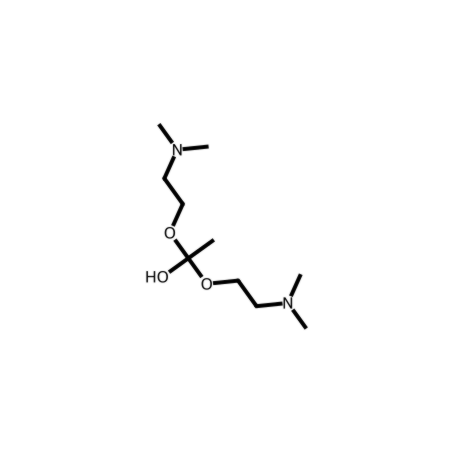 CN(C)CCOC(C)(O)OCCN(C)C